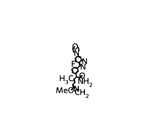 C=N/C(=C\C=C(/C)C(C(N)=O)c1ccc(F)c(-c2ncnc3cc(N4CCOCC4)ccc23)c1)OC